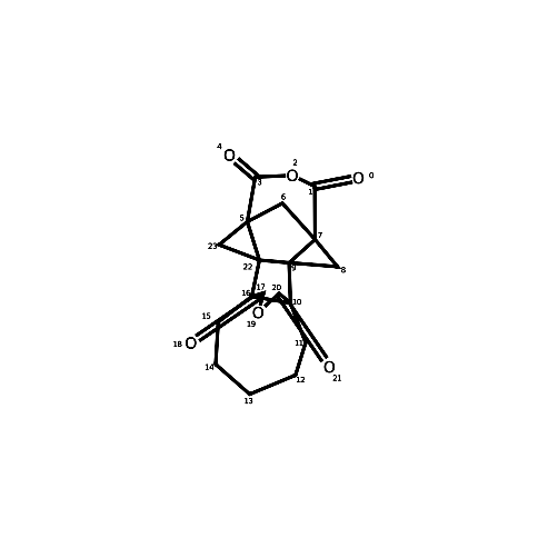 O=C1OC(=O)C23CC14CC41C45CCCCCC4(C(=O)OC5=O)C21C3